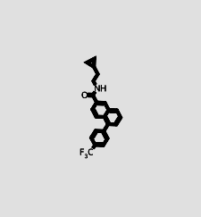 O=C(NCCC1CC1)c1ccc2c(-c3ccc(C(F)(F)F)cc3)cccc2c1